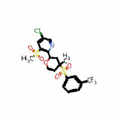 CC1(S(=O)(=O)c2cccc(C(F)(F)F)c2)CCOC(c2ncc(Cl)cc2S(C)(=O)=O)C1